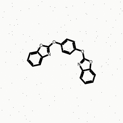 c1ccc2oc(Oc3ccc(Oc4nc5ccccc5o4)cc3)nc2c1